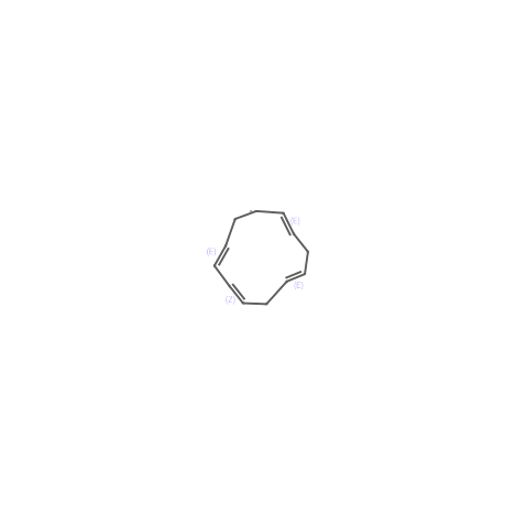 [CH]1/C=C/C/C=C/C/C=C\C=C\C1